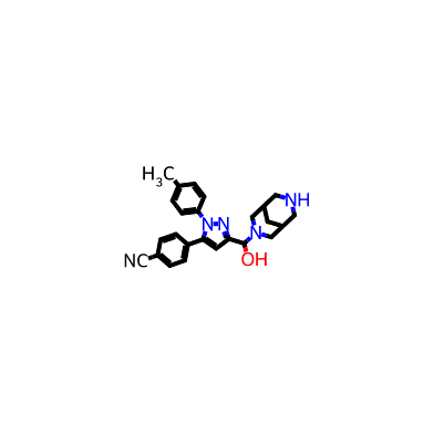 Cc1ccc(-n2nc(C(O)N3CC4CNCC(C4)C3)cc2-c2ccc(C#N)cc2)cc1